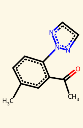 CC(=O)c1cc(C)ccc1-n1nccn1